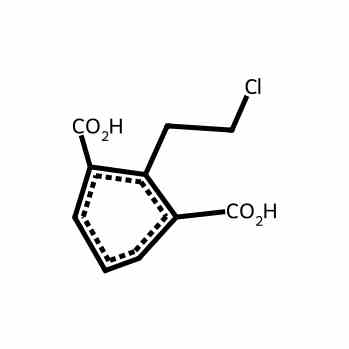 O=C(O)c1cccc(C(=O)O)c1CCCl